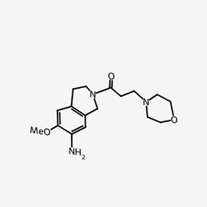 COc1cc2c(cc1N)CN(C(=O)CCN1CCOCC1)CC2